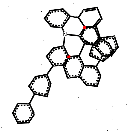 C1=CC(c2ccccc2N(c2ccc(-c3ccc(-c4ccccc4)cc3)cc2)c2ccccc2-c2cccc3cccc(-c4ccccc4)c23)C2Oc3ccccc3C2=C1